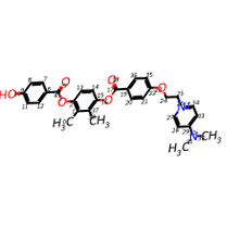 Cc1c(OC(=O)c2ccc(O)cc2)ccc(OC(=O)c2ccc(OCC[n+]3ccc(N(C)C)cc3)cc2)c1C